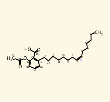 CCCCCC/C=C\CCCCCCCc1cccc(OC(C)=O)c1C(=O)O